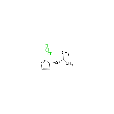 C[CH](C)[Zr+3][CH]1C=CC=C1.[Cl-].[Cl-].[Cl-]